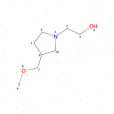 OCCN1CCC(COI)C1